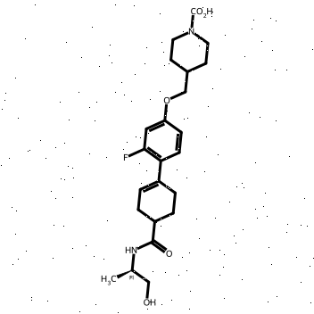 C[C@H](CO)NC(=O)C1CC=C(c2ccc(OCC3CCN(C(=O)O)CC3)cc2F)CC1